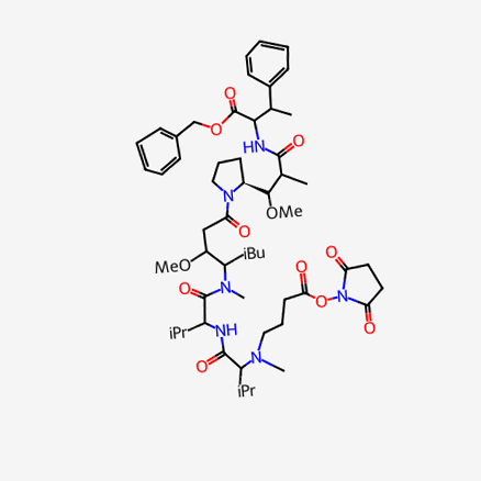 CCC(C)C(C(CC(=O)N1CCC[C@H]1C(OC)C(C)C(=O)NC(C(=O)OCc1ccccc1)C(C)c1ccccc1)OC)N(C)C(=O)C(NC(=O)C(C(C)C)N(C)CCCC(=O)ON1C(=O)CCC1=O)C(C)C